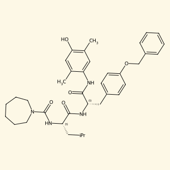 Cc1cc(NC(=O)[C@H](Cc2ccc(OCc3ccccc3)cc2)NC(=O)[C@H](CC(C)C)NC(=O)N2CCCCCC2)c(C)cc1O